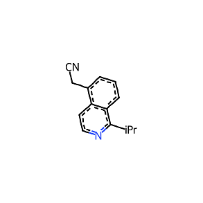 CC(C)c1nccc2c(CC#N)cccc12